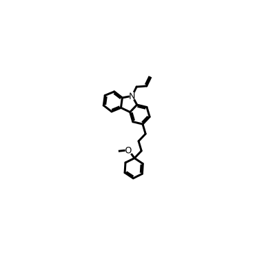 C=CCn1c2ccccc2c2cc(CCCC3(OC)C=CC=CC3)ccc21